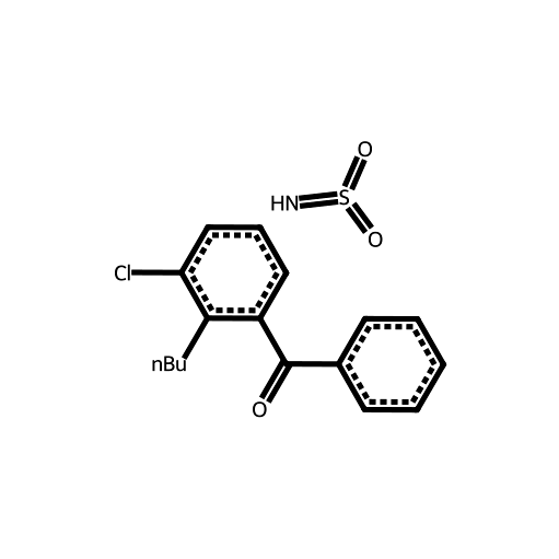 CCCCc1c(Cl)cccc1C(=O)c1ccccc1.N=S(=O)=O